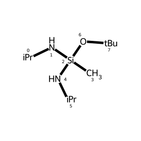 CC(C)N[Si](C)(NC(C)C)OC(C)(C)C